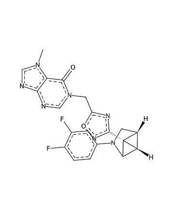 Cn1cnc2ncn(Cc3nc([C@@]45C6[C@H]4[C@H]5CN6c4ccc(F)c(F)c4)no3)c(=O)c21